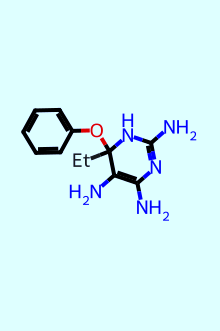 CCC1(Oc2ccccc2)NC(N)=NC(N)=C1N